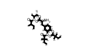 CCC(C)C(=O)OC(C)[C@H](C)OC(=O)[C@@H](N)Cc1ccc(OC(=O)C(C)(C)CC)c(OC(=O)C(C)(C)CC)c1